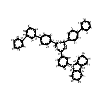 c1ccc(-c2ccc(-c3nc(-c4ccc(-c5cccc(-c6ccccc6)c5)cc4)nc(-c4cccc(-n5c6ccccc6c6ccccc65)c4)n3)cc2)cc1